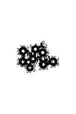 CC(C)c1ccc2c(c1)c1c(N(c3ccccc3)c3cccc4c3oc3ccccc34)cc3c4c1n2-c1ccccc1-c1cccc(c1-4)C31CCCC1